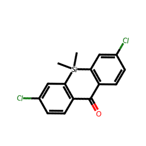 C[Si]1(C)c2cc(Cl)ccc2C(=O)c2ccc(Cl)cc21